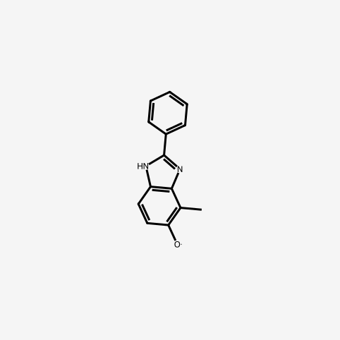 Cc1c([O])ccc2[nH]c(-c3ccccc3)nc12